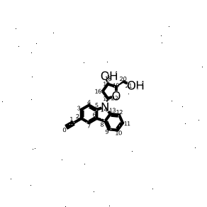 C#Cc1ccc2c(c1)c1ccccc1n2[C@@H]1C[C@H](O)[C@@H](CO)O1